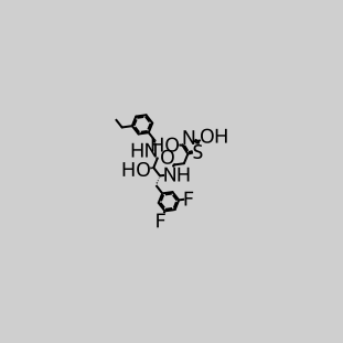 CCc1cccc(CNC[C@H](O)[C@@H](Cc2cc(F)cc(F)c2)NC(=O)Cc2sc(O)nc2O)c1